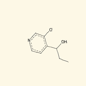 CCC(O)c1ccncc1Cl